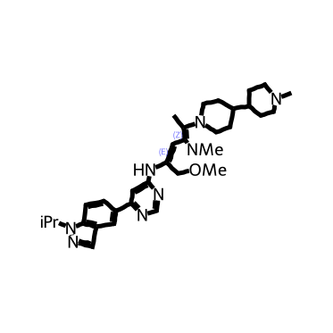 CNC(/C=C(\COC)Nc1cc(-c2ccc3c(cnn3C(C)C)c2)ncn1)=C(/C)N1CCC(C2CCN(C)CC2)CC1